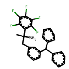 BC(C)(Cc1cccc(C(c2ccccc2)c2ccccc2)c1)c1c(F)c(F)c(F)c(F)c1F